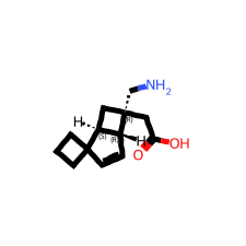 NC[C@@]1(CC(=O)O)C[C@H]2[C@H]1C=CC21CCC1